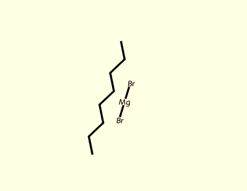 CCCCCCCC.[Br][Mg][Br]